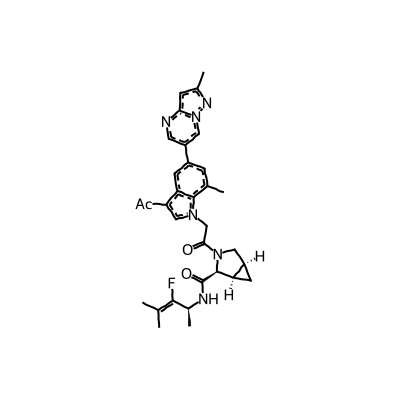 CC(=O)c1cn(CC(=O)N2C[C@H]3C[C@H]3[C@H]2C(=O)N[C@@H](C)C(F)=C(C)C)c2c(C)cc(-c3cnc4cc(C)nn4c3)cc12